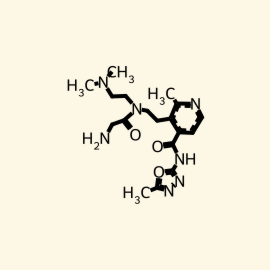 Cc1nnc(NC(=O)c2ccnc(C)c2CCN(CCN(C)C)C(=O)CN)o1